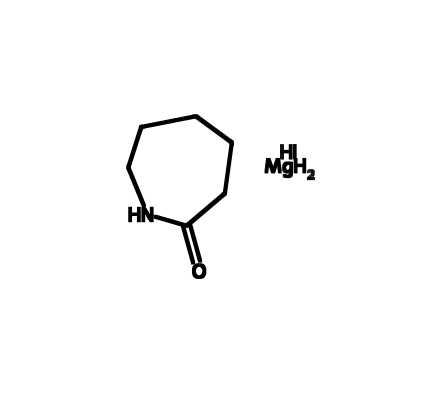 I.O=C1CCCCCN1.[MgH2]